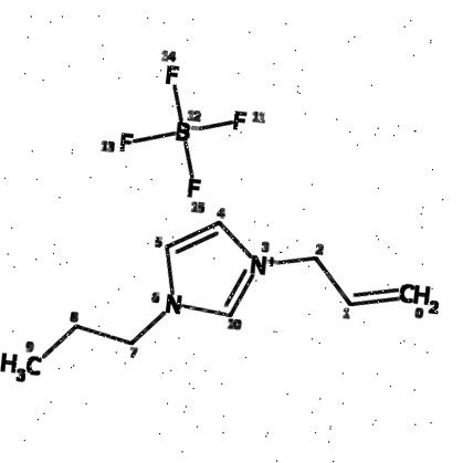 C=CC[n+]1ccn(CCC)c1.F[B-](F)(F)F